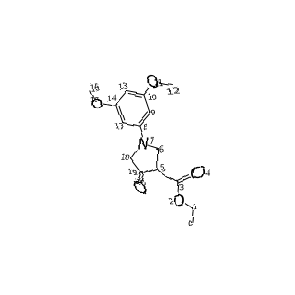 CCOC(=O)C1CN(c2cc(OC)cc(OC)c2)CC1=O